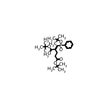 CC(C)(C)OC(=O)CC/C(=C\P(=O)(OC(C)(C)C)c1ccccc1)C(=O)OC(C)(C)C